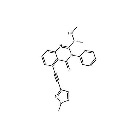 CN[C@H](C)c1nc2cccc(C#Cc3ccn(C)n3)c2c(=O)n1-c1ccccc1